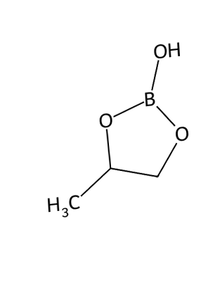 CC1COB(O)O1